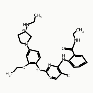 CCNC(=O)c1ccccc1Nc1nc(Nc2ccc(N3CC[C@@H](NCC)C3)cc2OCC)ncc1Cl